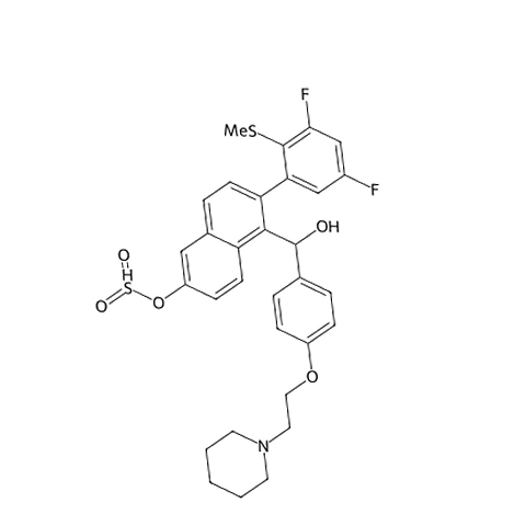 CSc1c(F)cc(F)cc1-c1ccc2cc(O[SH](=O)=O)ccc2c1C(O)c1ccc(OCCN2CCCCC2)cc1